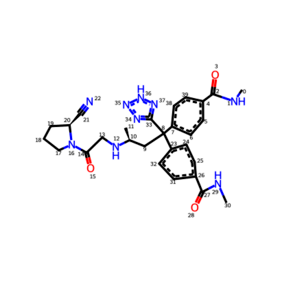 CNC(=O)c1ccc(C(C[C@H](C)NCC(=O)N2CCC[C@H]2C#N)(c2ccc(C(=O)NC)cc2)c2nn[nH]n2)cc1